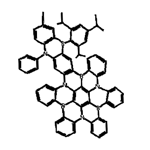 Cc1ccc2c(c1)B(c1c(C(C)C)cc(C(C)C)cc1C(C)C)c1cc3c(cc1N2c1ccccc1)N1c2ccccc2B2c4ccccc4N4c5ccccc5B5c6ccccc6N6c7ccccc7B3c3c6c5c4c2c31